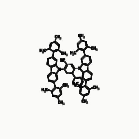 Cc1cc(C)c(-c2ccc3c4ccc(-c5c(C)cc(C)cc5C)cc4n(-c4cc(-c5ccncc5)c(-n5c6cc(-c7c(C)cc(C)cc7C)ccc6c6ccc(-c7c(C)cc(C)cc7C)cc65)cc4C#N)c3c2)c(C)c1